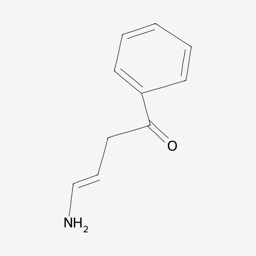 NC=CCC(=O)c1ccccc1